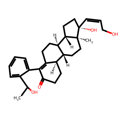 CC(O)c1ccccc1C1=C2CC[C@@H]3[C@H](CC[C@@]4(C)[C@H]3CC[C@@]4(O)/C=C\CO)[C@H]2CCC1=O